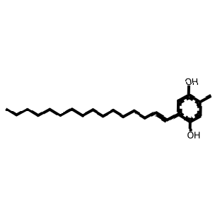 CCCCCCCCCCCCCCC=Cc1cc(O)c(C)cc1O